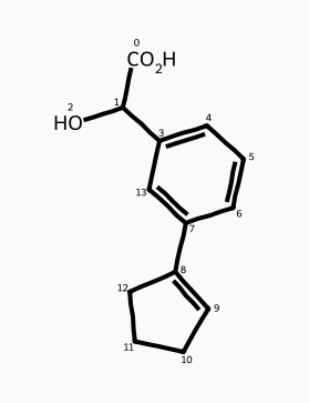 O=C(O)C(O)c1cccc(C2=CCCC2)c1